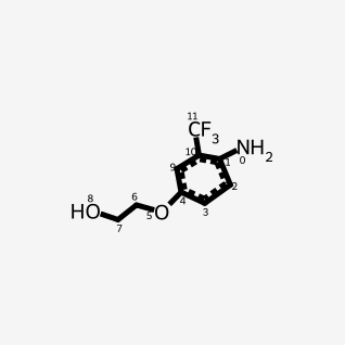 Nc1ccc(OCCO)cc1C(F)(F)F